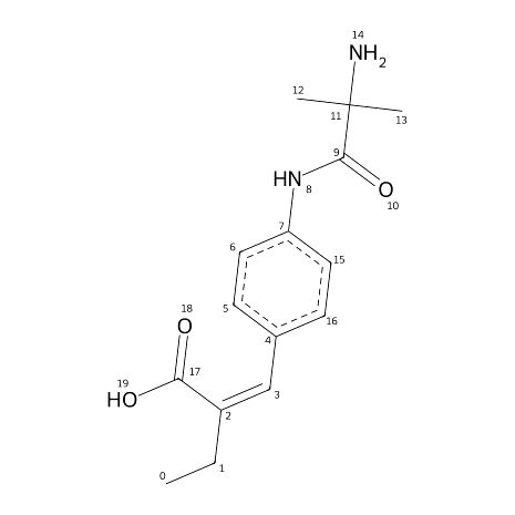 CCC(=Cc1ccc(NC(=O)C(C)(C)N)cc1)C(=O)O